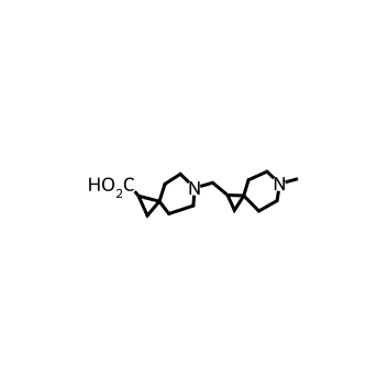 CN1CCC2(CC1)CC2CN1CCC2(CC1)CC2C(=O)O